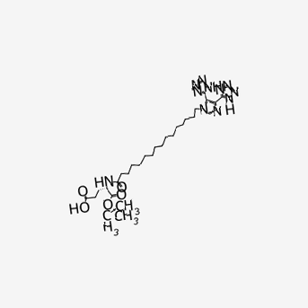 CC(C)(C)OC(=O)[C@H](CCC(=O)O)NC(=O)CCCCCCCCCCCCCCCn1cnc(-c2nnn[nH]2)c1-c1nnn[nH]1